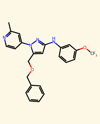 Cc1cc(-n2nc(Nc3cccc(OC(F)(F)F)c3)cc2COCc2ccccc2)ccn1